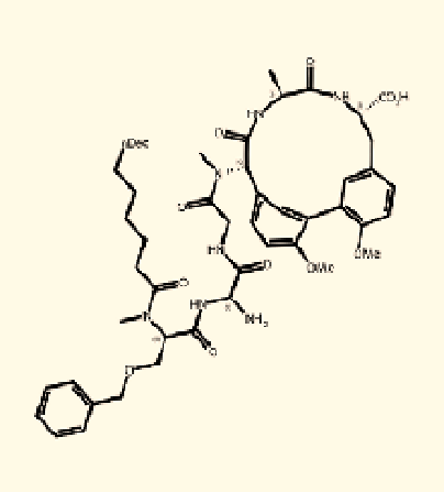 CCCCCCCCCCCCCCCC(=O)N(C)[C@H](COCc1ccccc1)C(=O)N[C@H](N)C(=O)NCC(=O)N(C)[C@@H]1C(=O)N[C@@H](C)C(=O)N[C@H](C(=O)O)Cc2ccc(OC)c(c2)-c2cc1ccc2OC